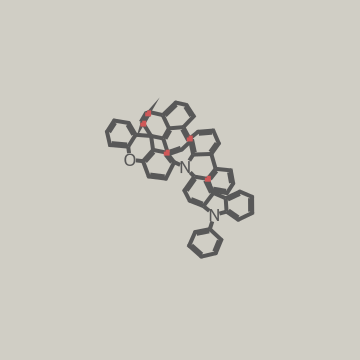 c1ccc(-c2ccccc2N(c2ccc3c(c2)C2(c4ccccc4O3)c3ccccc3-c3cccc4cccc2c34)c2ccc3c(c2)c2ccccc2n3-c2ccccc2)cc1